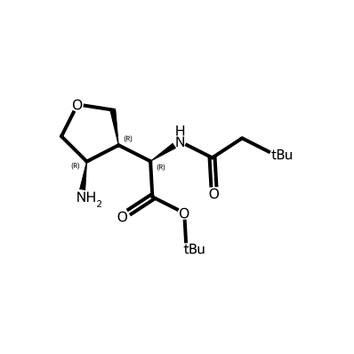 CC(C)(C)CC(=O)N[C@@H](C(=O)OC(C)(C)C)[C@@H]1COC[C@@H]1N